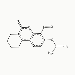 CC(C)Oc1ccc2c3c(c(=O)oc2c1N=O)CCCC3